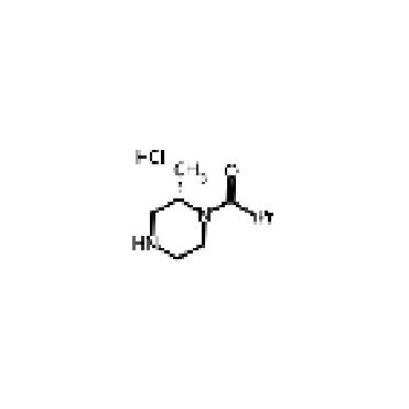 CC(C)C(=O)N1CCNC[C@@H]1C.Cl